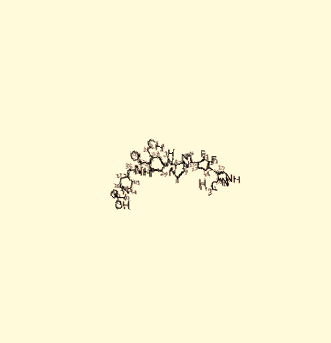 CCc1cc(Nc2nccn3c(-c4ccc(-c5c[nH]nc5C)c(F)c4F)cnc23)ccc1C(=O)NCC1CCN(CC(=O)O)CC1